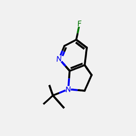 CC(C)(C)N1CCc2cc(F)cnc21